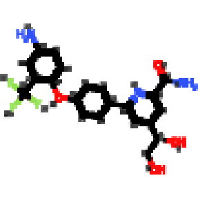 NC(=O)c1cc([C@H](O)CO)cc(-c2ccc(Oc3ccc(N)cc3C(F)(F)F)cc2)n1